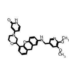 COc1cc(CNc2ccc3c(c2)Cc2cccc(C4CN(c5cc[nH]c(=O)c5)CCO4)c2O3)cnc1OC